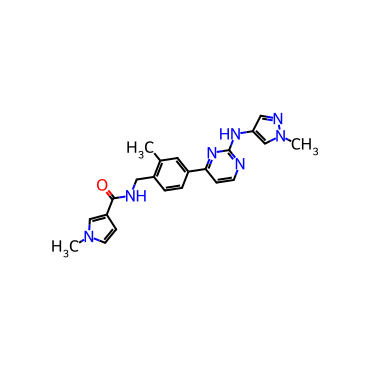 Cc1cc(-c2ccnc(Nc3cnn(C)c3)n2)ccc1CNC(=O)c1ccn(C)c1